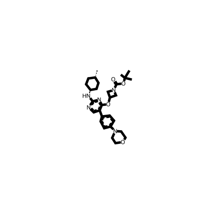 CC(C)(C)OC(=O)N1CC(Oc2nc(N[C@H]3CC[C@@H](C)CC3)ncc2-c2ccc(N3CCOCC3)cc2)C1